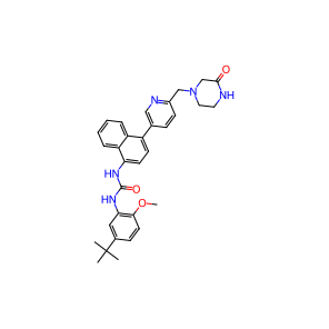 COc1ccc(C(C)(C)C)cc1NC(=O)Nc1ccc(-c2ccc(CN3CCNC(=O)C3)nc2)c2ccccc12